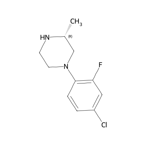 C[C@@H]1CN(c2ccc(Cl)cc2F)CCN1